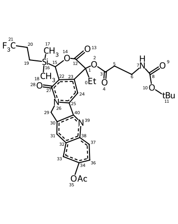 CCC1(OC(=O)CCNC(=O)OC(C)(C)C)C(=O)OC([Si](C)(C)CCC(F)(F)F)c2c1cc1n(c2=O)Cc2cc3cc(OC(C)=O)ccc3nc2-1